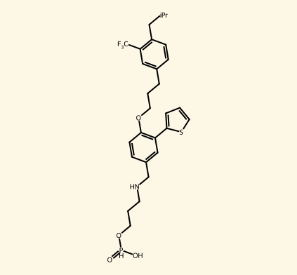 CC(C)Cc1ccc(CCCOc2ccc(CNCCCO[PH](=O)O)cc2-c2cccs2)cc1C(F)(F)F